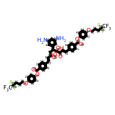 Nc1cc(N)cc(C(CC(=O)C=Cc2ccc(C(=O)Oc3ccc(OCCCC(F)(F)C(F)(F)F)cc3)cc2)C(O)(O)C(=O)C=Cc2ccc(C(=O)Oc3ccc(OCCCC(F)(F)C(F)(F)F)cc3)cc2)c1